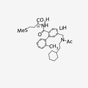 CSCC[C@H](NC(=O)c1ccc(CN(CCC2CCCCC2)C(C)=O)cc1-c1ccccc1C)C(=O)O.[LiH]